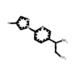 CCC(N)c1ccc(-n2cc(F)cn2)nc1